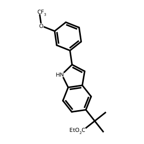 CCOC(=O)C(C)(C)c1ccc2[nH]c(-c3cccc(OC(F)(F)F)c3)cc2c1